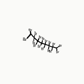 Br[C](Br)C(Br)(Br)C(Br)(Br)C(Br)(Br)C(Br)(Br)C(Br)(Br)C(Br)(Br)[C](Br)Br